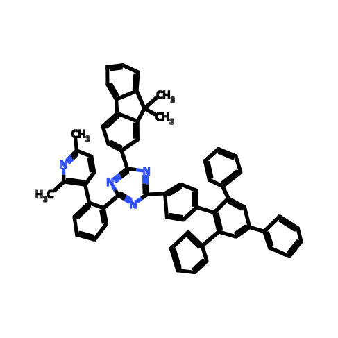 Cc1ccc(-c2ccccc2-c2nc(-c3ccc(-c4c(-c5ccccc5)cc(-c5ccccc5)cc4-c4ccccc4)cc3)nc(-c3ccc4c(c3)C(C)(C)c3ccccc3-4)n2)c(C)n1